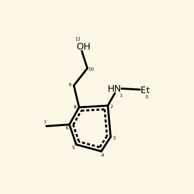 CCNc1cccc(C)c1CCO